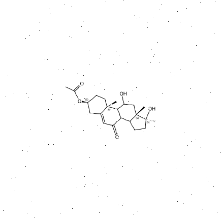 CC(=O)O[C@H]1CC[C@@]2(C)C(=CC(=O)C3C2C(O)C[C@@]2(C)C3CC[C@]2(C)O)C1